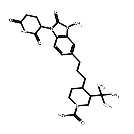 Cn1c(=O)n(C2CCC(=O)NC2=O)c2ccc(CCCC3CCN(C(=O)O)CC3C(C)(C)C)cc21